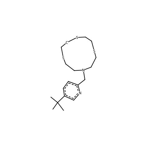 CC(C)(C)c1ccc(CN2CCSCCSCCSCC2)nc1